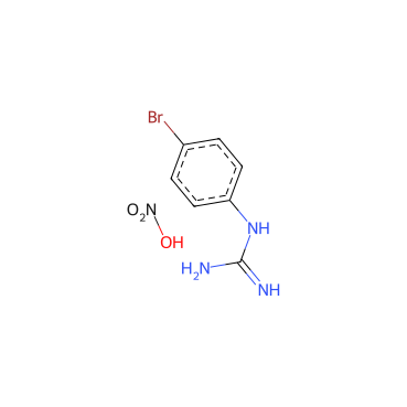 N=C(N)Nc1ccc(Br)cc1.O=[N+]([O-])O